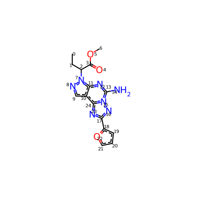 CCC(C(=O)OC)n1ncc2c1nc(N)n1nc(-c3ccco3)nc21